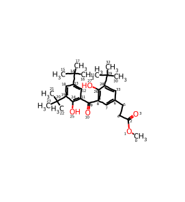 COC(=O)CCc1cc(C(=O)c2cc(C(C)(C)C)cc(C(C)(C)C)c2O)c(O)c(C(C)(C)C)c1